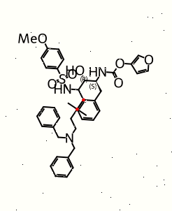 COc1ccc(S(=O)(=O)NC(CC(C)(C)CCN(Cc2ccccc2)Cc2ccccc2)[C@H](O)[C@H](Cc2ccccc2)NC(=O)Oc2ccoc2)cc1